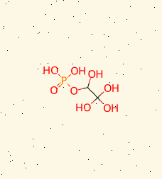 O=P(O)(O)OC(O)C(O)(O)O